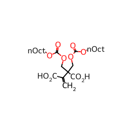 C=C(C(=O)O)C(COC(=O)OCCCCCCCC)(COC(=O)OCCCCCCCC)C(=O)O